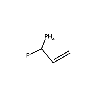 C=CC(F)[PH4]